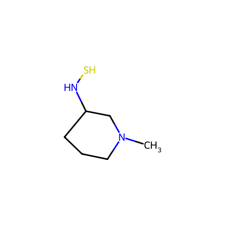 CN1CCCC(NS)C1